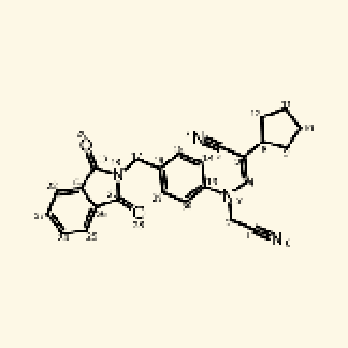 N#CCN(/C=C(\C#N)C1CCCC1)c1ccc(CN2C(=O)c3ccccc3C2=O)cc1